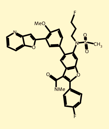 CNC(=O)c1c(-c2ccc(F)cc2)oc2cc(N(CCCF)S(C)(=O)=O)c(-c3ccc(OC)c(-c4cc5ncccc5o4)c3)cc12